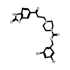 O=C(CCN1CCN(C(=O)OCc2cc(Br)cc(Br)c2)CC1)c1ccc2[nH]c(=O)oc2c1